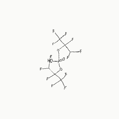 O=P(O)(OC(F)(C(F)F)C(F)(F)F)OC(F)(C(F)F)C(F)(F)F